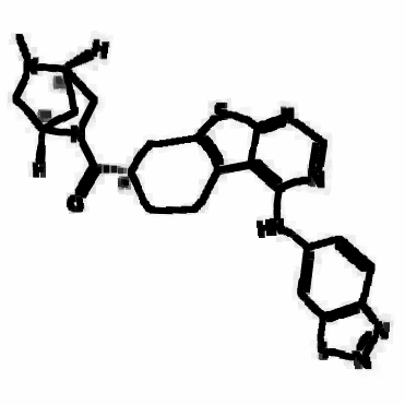 CN1C[C@@H]2C[C@H]1CN2C(=O)[C@H]1CCc2c(sc3ncnc(Nc4ccc5nnsc5c4)c23)C1